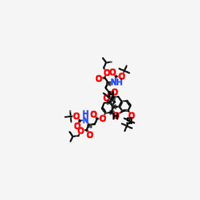 CC(C)COC(=O)[C@H](CC(=O)OC1=CC[C@@]2(OC(=O)C[C@H](NC(=O)OC(C)(C)C)C(=O)OCC(C)C)[C@H]3Cc4ccc(O[Si](C)(C)C(C)(C)C)c5c4[C@@]2(CCC3C)[C@H]1O5)NC(=O)OC(C)(C)C